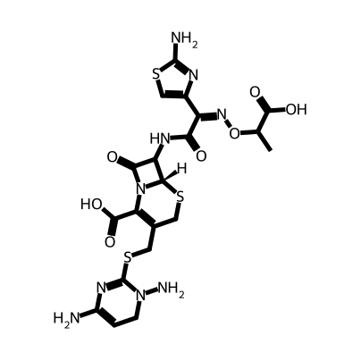 CC(O/N=C(\C(=O)NC1C(=O)N2C(C(=O)O)=C(CSC3=NC(N)=CCN3N)CS[C@@H]12)c1csc(N)n1)C(=O)O